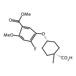 COC(=O)c1cc(O[C@H]2CC[C@@](C)(C(=O)O)CC2)c(F)cc1OC